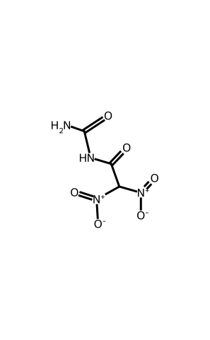 NC(=O)NC(=O)C([N+](=O)[O-])[N+](=O)[O-]